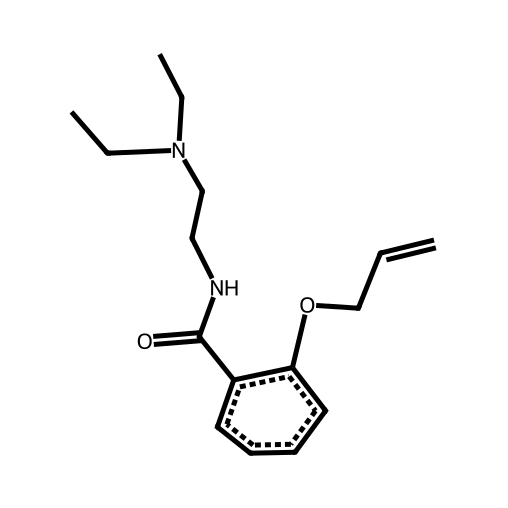 C=CCOc1ccccc1C(=O)NCCN(CC)CC